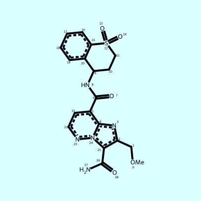 COCc1nc2c(C(=O)NC3CCS(=O)(=O)c4ccccc43)ccnn2c1C(N)=O